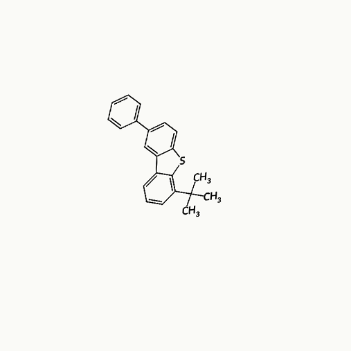 CC(C)(C)c1cccc2c1sc1ccc(-c3ccccc3)cc12